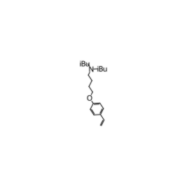 C=Cc1ccc(OCCCCN(C(C)CC)C(C)CC)cc1